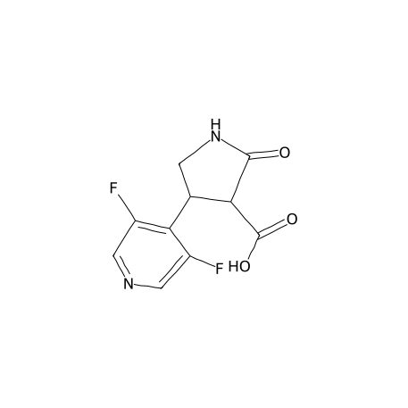 O=C(O)C1C(=O)NCC1c1c(F)cncc1F